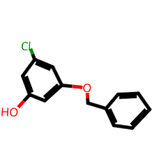 Oc1cc(Cl)cc(OCc2ccccc2)c1